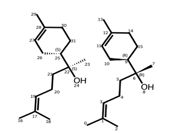 CC(C)=CCC[C@@](C)(O)[C@H]1CC=C(C)CC1.CC(C)=CCC[C@](C)(O)[C@@H]1CC=C(C)CC1